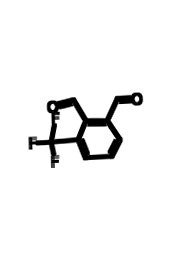 O=Cc1cccc(C(F)(F)F)c1C=O